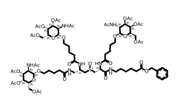 CC(=O)N[C@H]1[C@H](OCCCCC(=O)NC[C@@H](C[S+]([O-])C[C@H](NC(=O)CCCCO[C@@H]2O[C@H](COC(C)=O)[C@H](OC(C)=O)[C@H](OC(C)=O)[C@H]2NC(C)=O)C(=O)NCCCCCC(=O)OCc2ccccc2)NC(=O)CCCCO[C@@H]2O[C@H](COC(C)=O)[C@H](OC(C)=O)[C@H](OC(C)=O)[C@H]2NC(C)=O)O[C@H](COC(C)=O)[C@H](OC(C)=O)[C@@H]1OC(C)=O